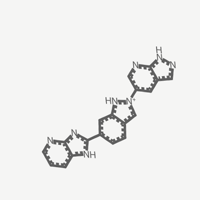 c1cnc2nc(-c3ccc4c[n+](-c5cnc6[nH]ncc6c5)[nH]c4c3)[nH]c2c1